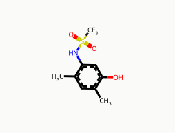 Cc1cc(C)c(NS(=O)(=O)C(F)(F)F)cc1O